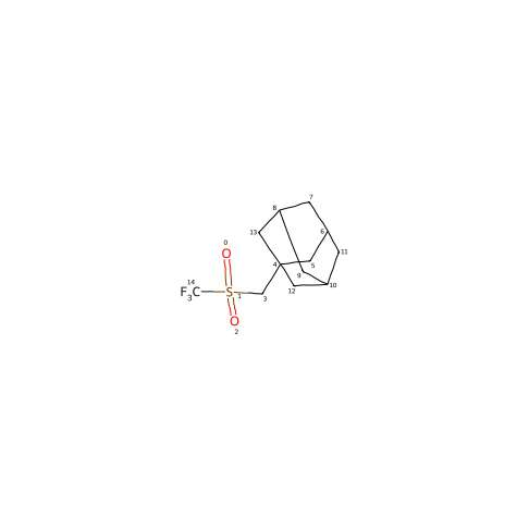 O=S(=O)(CC12CC3CC(CC(C3)C1)C2)C(F)(F)F